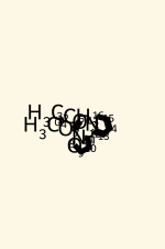 CC(C)(C)OC(=O)N1OCC[C@H]1c1ccccn1